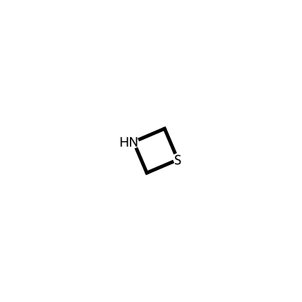 C1NCS1